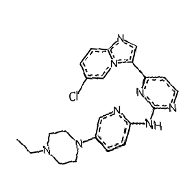 CCN1CCN(c2ccc(Nc3nccc(-c4cnc5ccc(Cl)cn45)n3)nc2)CC1